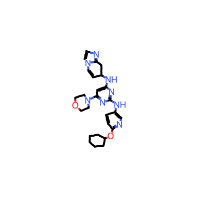 C1=Cn2ccnc2CC1Nc1cc(N2CCOCC2)nc(Nc2ccc(OC3CCCCC3)nc2)n1